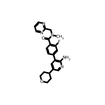 CN(Cc1ncccn1)C(=O)c1ccc(-c2cc(C3CCOCC3)cnc2N)cc1F